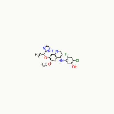 COc1cc2c(Nc3cc(O)c(Cl)cc3F)ccnc2cc1OC(C)c1ncc[nH]1